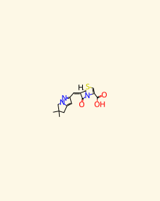 CC1(C)Cc2cc(C=C3C(=O)N4C(C(=O)O)=CS[C@H]34)nn2C1